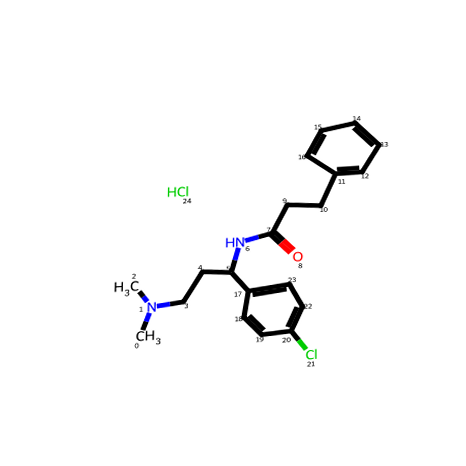 CN(C)CCC(NC(=O)CCc1ccccc1)c1ccc(Cl)cc1.Cl